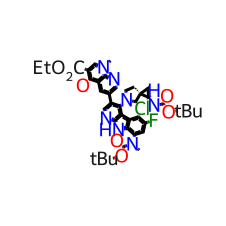 CCOC(=O)c1cn(C)c2ncc(-c3cnc4[nH]c5c(N(C)C(=O)OC(C)(C)C)cc(F)c(Cl)c5c4c3N3CC[C@@]4(C[C@H]4NC(=O)OC(C)(C)C)C3)cc2c1=O